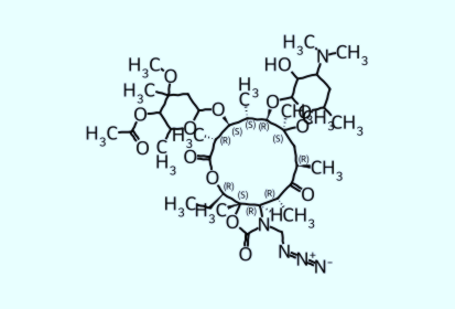 CC[C@H]1OC(=O)[C@H](C)[C@@H](OC2CC(C)(OC)C(OC(C)=O)C(C)O2)[C@H](C)[C@@H](OC2OC(C)CC(N(C)C)C2O)[C@@](C)(OC)C[C@@H](C)C(=O)[C@H](C)[C@H]2N(CN=[N+]=[N-])C(=O)O[C@]12C